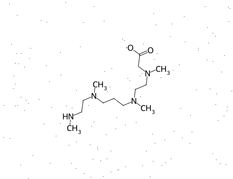 CNCCN(C)CCCN(C)CCN(C)CC([O])=O